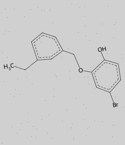 CCc1cccc(COc2cc(Br)ccc2O)c1